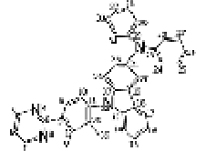 Cc1c(-c2ncccn2)ccc(-n2c3ccccc3c3cc(N(c4ccccc4)c4ccccc4)ccc32)c1C